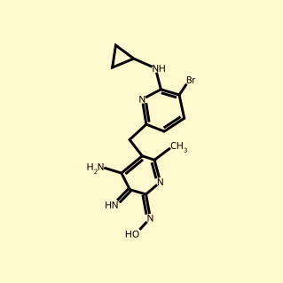 CC1=N/C(=N/O)C(=N)C(N)=C1Cc1ccc(Br)c(NC2CC2)n1